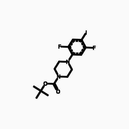 CC(C)(C)OC(=O)N1CCN(c2cc(F)c(I)cc2F)CC1